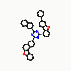 c1ccc(-c2ccc3c(c2)oc2cccc(-c4nc(-c5ccc6ccccc6c5)nc(-c5ccc6c(ccc7oc8ccccc8c76)c5)n4)c23)cc1